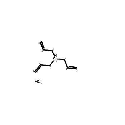 C=C[CH2][SnH]([CH2]C=C)[CH2]C=C.Cl